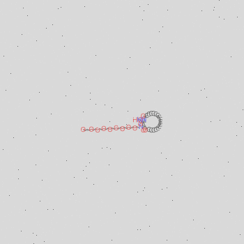 O=[C]CCOCCOCCOCCOCCOCCOCCOCCOCCNC(=O)C1C[C@@H](C(=O)O)NC(=O)CCCCCCCCCCCCCCCCC1=O